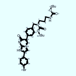 CC(C)(C)OC(=O)NCCCN(Cc1ccc(-c2cn3cc(-c4ccc(Br)cc4)[nH]c3nc2=O)cc1)C(=O)OC(C)(C)C